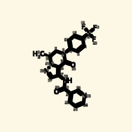 C[C@H]1CN(c2ccc(S(F)(F)F)cc2)C(=O)c2c(NC(=O)c3cccnc3)cnn21